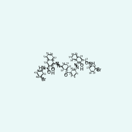 O=C(c1cccc(N=Nc2c(O)c(CONc3cccc(Br)c3)cc3ccccc23)c1)c1cccc(N=Nc2c(O)c(C(=O)Nc3cccc(Br)c3)cc3ccccc23)c1